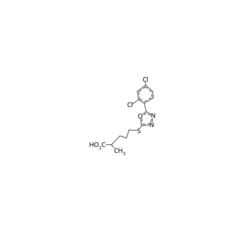 CC(CCCSc1nnc(-c2ccc(Cl)cc2Cl)o1)C(=O)O